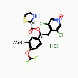 COc1cc([C@H](Cc2c(Cl)c[n+]([O-])cc2Cl)OC(=O)[C@H]2NCCS2)ccc1OC(F)F.Cl